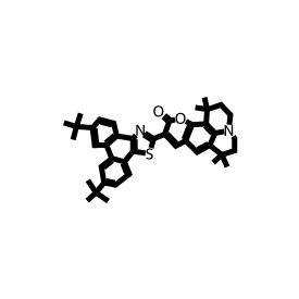 CC(C)(C)c1ccc2c(c1)c1cc(C(C)(C)C)ccc1c1sc(-c3cc4cc5c6c(c4oc3=O)C(C)(C)CCN6CCC5(C)C)nc21